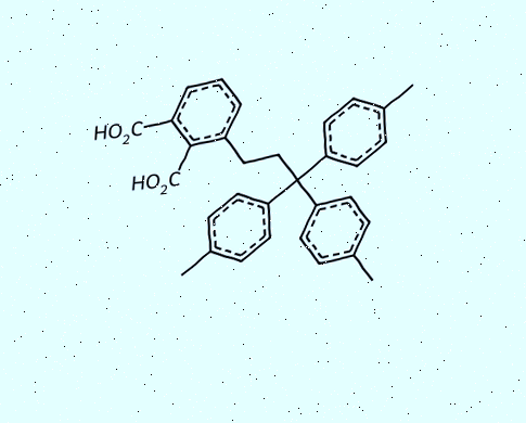 Cc1ccc(C(CCc2cccc(C(=O)O)c2C(=O)O)(c2ccc(C)cc2)c2ccc(C)cc2)cc1